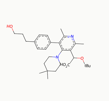 Cc1nc(C)c(C(OC(C)(C)C)C(=O)O)c(N2CCC(C)(C)CC2)c1-c1ccc(CCCO)cc1